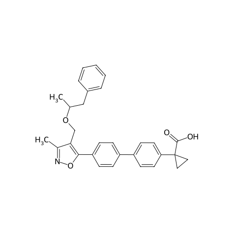 Cc1noc(-c2ccc(-c3ccc(C4(C(=O)O)CC4)cc3)cc2)c1COC(C)Cc1ccccc1